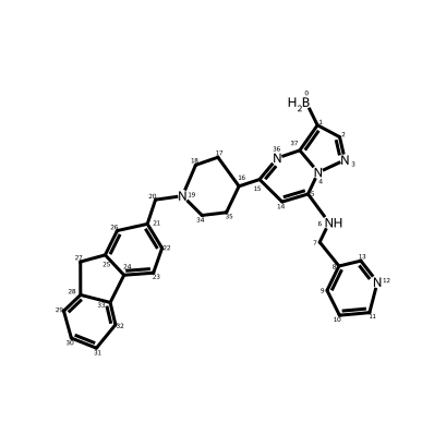 Bc1cnn2c(NCc3cccnc3)cc(C3CCN(Cc4ccc5c(c4)Cc4ccccc4-5)CC3)nc12